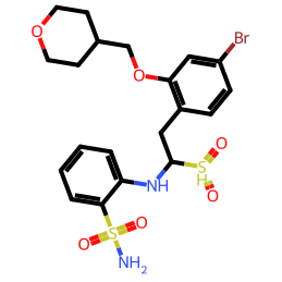 NS(=O)(=O)c1ccccc1NC(Cc1ccc(Br)cc1OCC1CCOCC1)[SH](=O)=O